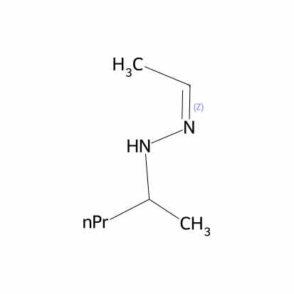 C/C=N\NC(C)CCC